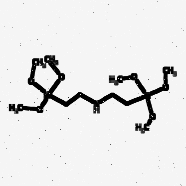 CO[Si](CCNCC[Si](OC)(OC)OC)(OC)OC